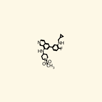 CS(=O)(=O)N1CCC(Nc2cc(-c3ccc(F)c(NCC4CC4)c3)cc3ccncc23)CC1